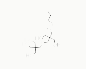 CCCOOCC(CO)(CO)COCC(CO)(CO)CO